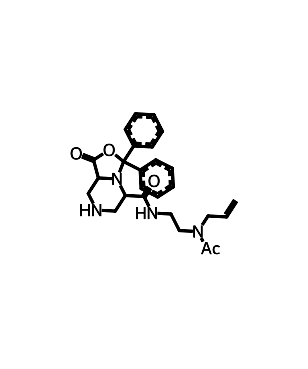 C=CCN(CCNC(=O)C1CNCC2C(=O)OC(c3ccccc3)(c3ccccc3)N12)C(C)=O